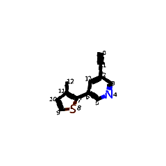 C#Cc1cncc(-c2sccc2C)c1